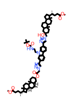 COC(=O)CC[C@@H](C)C1CCC2C3CCC4CC(O)(Cn5cc(-c6ccc7c8ccc(-c9cn(CC(=O)OC%10CCC%11(C)C%12CCC%13(C)C(CC%13[C@H](C)CCC(=O)OC)[C@@H]%12C[C@H](C)[C@@H]%11C%10)nn9)cc8n(CCNC(=O)OC(C)(C)C)c7c6)nn5)CCC4(C)C3CCC21C